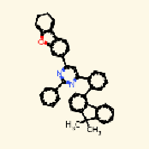 CC1(C)c2ccccc2-c2c(-c3ccccc3-c3cc(-c4ccc5c6c(oc5c4)=CCCC=6)nc(-c4ccccc4)n3)cccc21